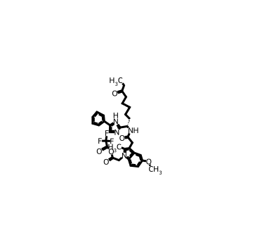 CCC(=O)CCCCC[C@H](NC(=O)Cc1c(C)n(CC(=O)OC(=O)C(F)(F)F)c2ccc(OC)cc12)c1ncc(-c2ccccc2)[nH]1